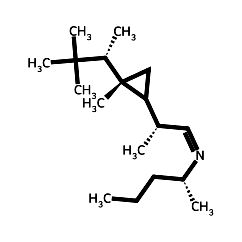 CCC[C@@H](C)/N=C\[C@H](C)C1C[C@@]1(C)[C@@H](C)C(C)(C)C